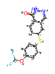 O=c1[nH]ncc2cc(Sc3ccc(OC(F)F)cc3)ccc12